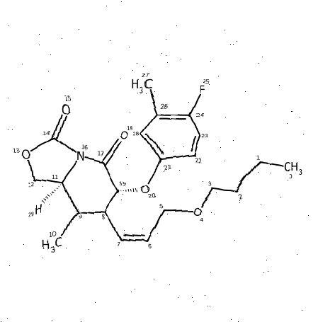 CCCCOC/C=C\C1C(C)[C@H]2COC(=O)N2C(=O)[C@@H]1Oc1ccc(F)c(C)c1